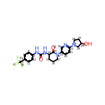 O=C(Nc1ccc(C(F)(F)F)cc1)NC1CCCN(c2ccc(N3CCC(O)C3)nc2)C1=O